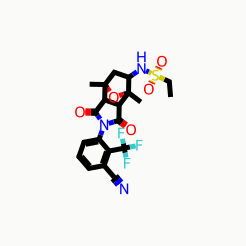 CCS(=O)(=O)NC1CC2(C)OC1(C)C1C(=O)N(c3cccc(C#N)c3C(F)(F)F)C(=O)C12